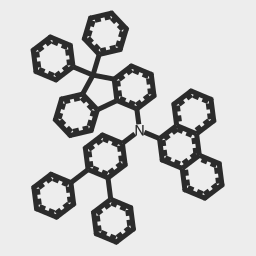 c1ccc(-c2ccc(N(c3cccc4c3-c3ccccc3C4(c3ccccc3)c3ccccc3)c3cc4ccccc4c4ccccc34)cc2-c2ccccc2)cc1